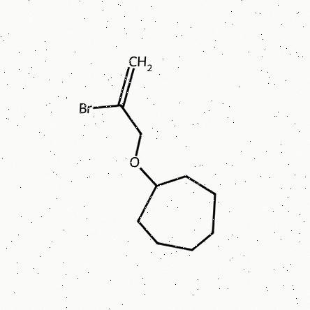 C=C(Br)COC1CCCCCC1